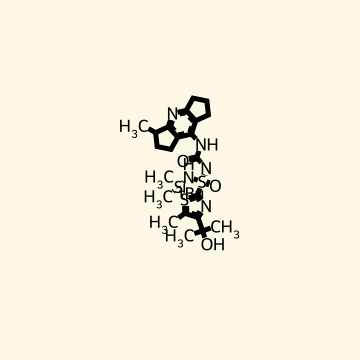 Cc1sc(S(=O)(=NC(=O)Nc2c3c(nc4c2CCC4C)CCC3)N[Si](C)(C)C(C)(C)C)nc1C(C)(C)O